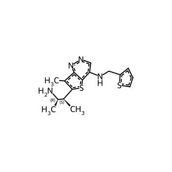 Cc1c([C@@H](C)[C@@H](C)N)sc2c(NCc3cccs3)cnnc12